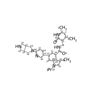 Cc1cc(C)c(CNC(=O)c2cc(-c3ccc(N4CC5CNCC5C4)nc3)cc3c2c(C)cn3C(C)C)c(=O)[nH]1